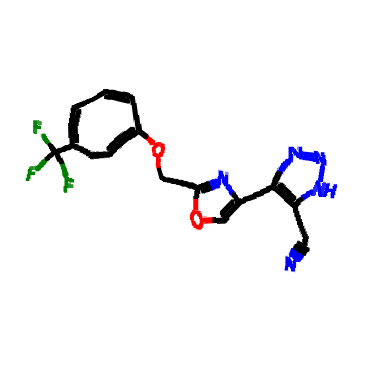 N#Cc1[nH]nnc1-c1coc(COc2cccc(C(F)(F)F)c2)n1